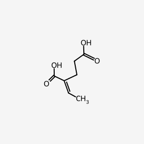 C/C=C(\CCC(=O)O)C(=O)O